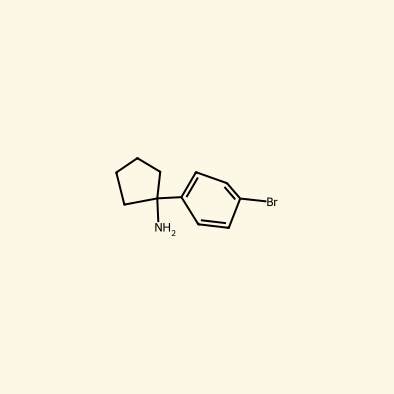 NC1(c2ccc(Br)cc2)CCCC1